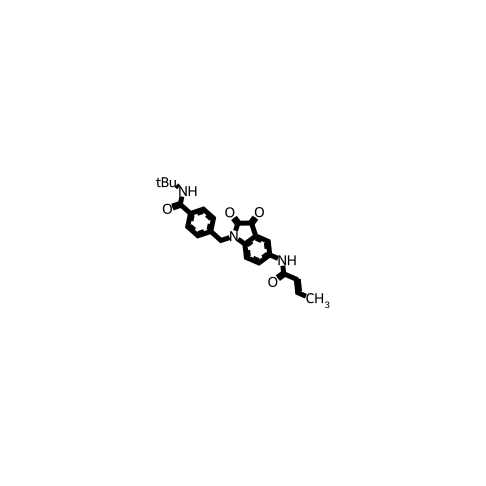 C/C=C/C(=O)Nc1ccc2c(c1)C(=O)C(=O)N2Cc1ccc(C(=O)NC(C)(C)C)cc1